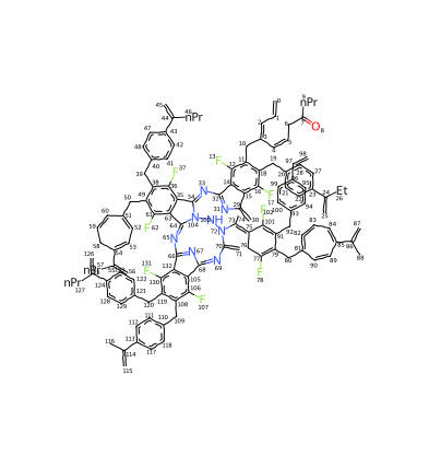 C=C/C=C(\C=C/CC(=O)CCC)Cc1c(F)c2c(c(F)c1Cc1ccc(C(=C)CC)cc1)C(=C)N=C2/N=C1/c2c(F)c(Cc3ccc(C(=C)CCC)cc3)c(CC3=CC=C(C(=C)CCC)CC=C3)c(F)c2/C2=N/C3=NC(=N\C(=C)N(/C(C)=C4\CC(F)=C(CC5=C=CC=C(C(=C)C)C=C5)C(Cc5ccc(C=C)cc5)=C4F)NN12)/c1c(F)c(Cc2ccc(C(=C)C)cc2)c(Cc2ccc(C(=C)CCC)cc2)c(F)c13